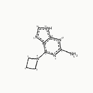 Nc1nc(N2CCC2)c2nc[nH]c2n1